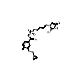 CC(C)C(NS(=O)(=O)CCCCCN1CC(=O)NC1O)c1ccc(F)c(OCC2CC2)c1